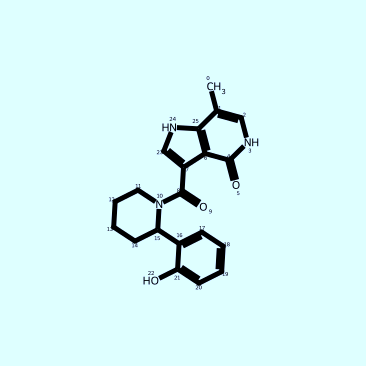 Cc1c[nH]c(=O)c2c(C(=O)N3CCCCC3c3ccccc3O)c[nH]c12